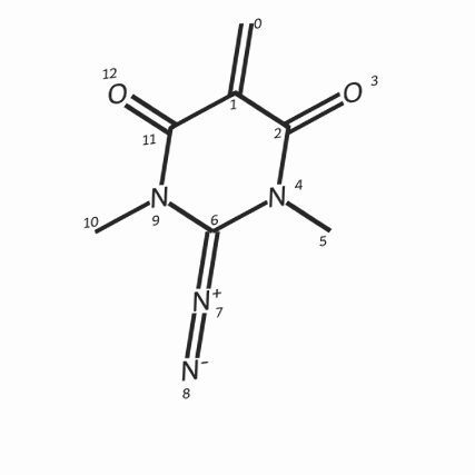 C=C1C(=O)N(C)C(=[N+]=[N-])N(C)C1=O